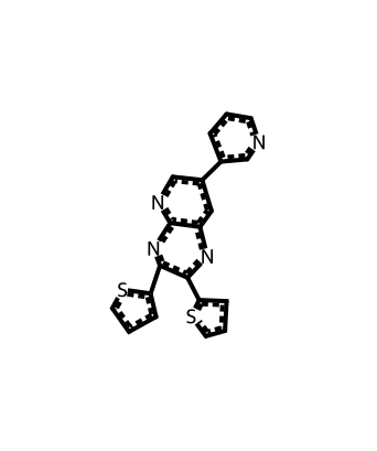 c1cncc(-c2cnc3nc(-c4cccs4)c(-c4cccs4)nc3c2)c1